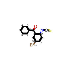 O=C(c1ccccc1)c1cc(Br)ccc1N=C=S